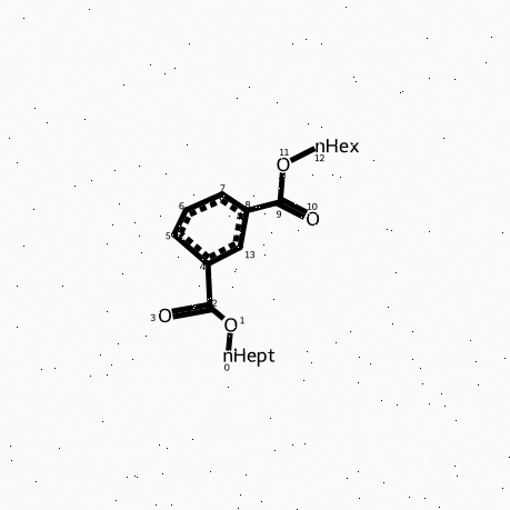 CCCCCCCOC(=O)c1cccc(C(=O)OCCCCCC)c1